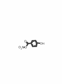 O=C(O[N+](=O)[O-])c1ccc(O)cc1